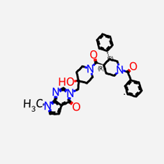 Cn1ccc2c(=O)n(CC3(O)CCN(C(=O)[C@@H]4CCN(C(=O)c5c[c]ccc5)C[C@H]4c4ccccc4)CC3)cnc21